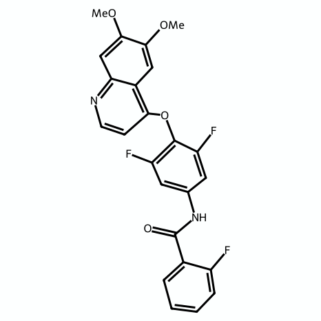 COc1cc2nccc(Oc3c(F)cc(NC(=O)c4ccccc4F)cc3F)c2cc1OC